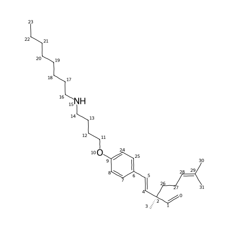 C=C[C@@](C)(/C=C/c1ccc(OCCCCNCCCCCCCC)cc1)CCC=C(C)C